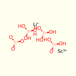 OB(O)O.OB(O)O.[Li+].[O-]B(O)O.[O-]B([O-])[O-].[Sc+3]